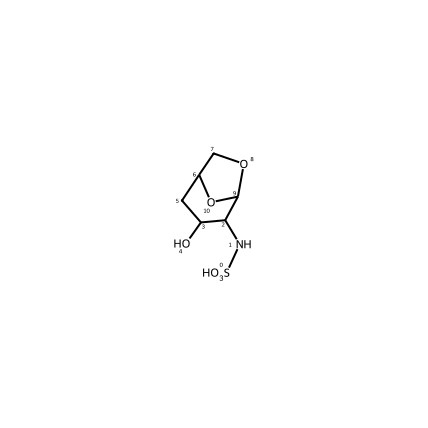 O=S(=O)(O)NC1C(O)CC2COC1O2